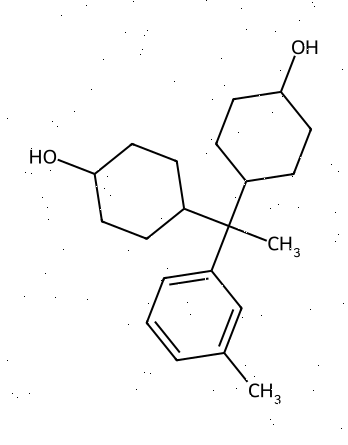 Cc1cccc(C(C)(C2CCC(O)CC2)C2CCC(O)CC2)c1